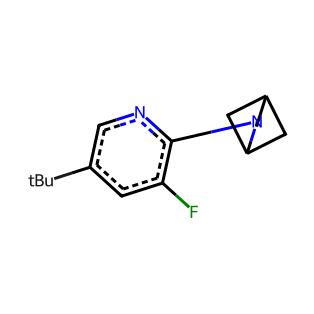 CC(C)(C)c1cnc(N2CC3CC2C3)c(F)c1